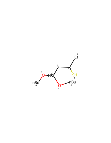 CCCCO[SiH](CC(S)CC)OCCCC